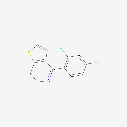 Fc1ccc(C2=NCCc3sccc32)c(F)c1